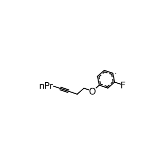 CCCC#CCCOc1cc[c]c(F)c1